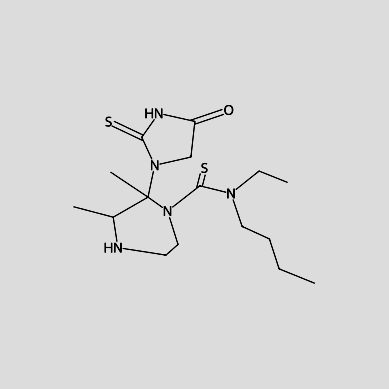 CCCCN(CC)C(=S)N1CCNC(C)C1(C)N1CC(=O)NC1=S